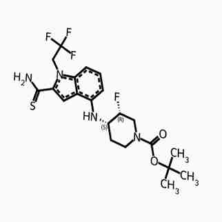 CC(C)(C)OC(=O)N1CC[C@H](Nc2cccc3c2cc(C(N)=S)n3CC(F)(F)F)[C@H](F)C1